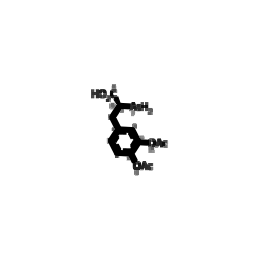 CC(=O)Oc1ccc(C[C@H]([AsH2])C(=O)O)cc1OC(C)=O